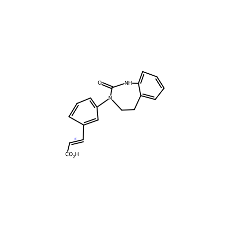 O=C(O)/C=C/c1cccc(N2CCc3ccccc3NC2=O)c1